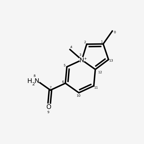 CC1=C[N+]2(C)C=C(C(N)=O)C=CC2=C1